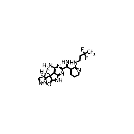 CC1(c2nncs2)C(=O)Nc2nc(C(=N)C3=CCCN=C3NCCC(F)(F)C(F)(F)F)nc(N)c21